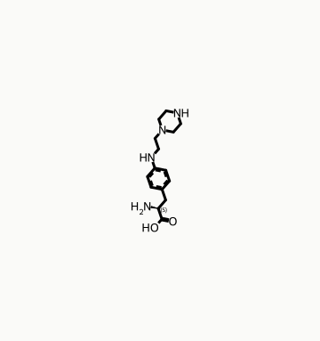 N[C@@H](Cc1ccc(NCCN2CCNCC2)cc1)C(=O)O